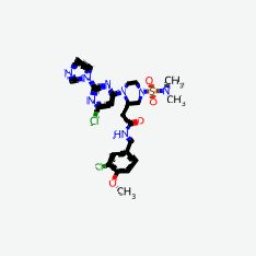 COc1ccc(CNC(=O)CC2CN(S(=O)(=O)N(C)C)CCN2c2cc(Cl)nc(-n3ccnc3)n2)cc1Cl